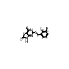 Cc1nc(SCc2cccc(F)c2F)nc2[nH]c(=O)sc12